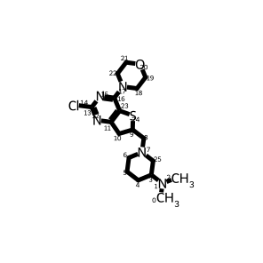 CN(C)C1CCCN(CC2Cc3nc(Cl)nc(N4CCOCC4)c3S2)C1